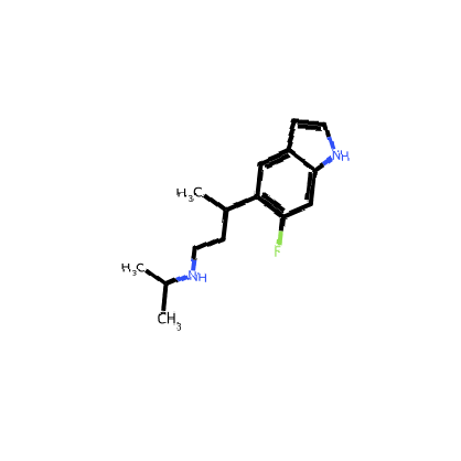 CC(C)NCCC(C)c1cc2cc[nH]c2cc1F